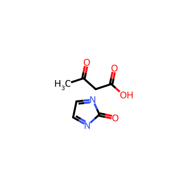 CC(=O)CC(=O)O.O=C1N=CC=N1